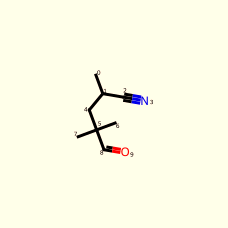 CC(C#N)CC(C)(C)C=O